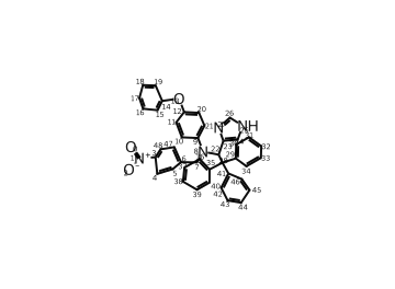 O=[N+]([O-])c1ccc(CN(c2ccc(Oc3ccccc3)cc2)C(c2c[nH]cn2)C(c2ccccc2)(c2ccccc2)c2ccccc2)cc1